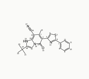 Cc1c(-c2csc(-c3ccccc3)n2)c(=O)n2cc(C(C)(C)C)[nH]c2c1C#N